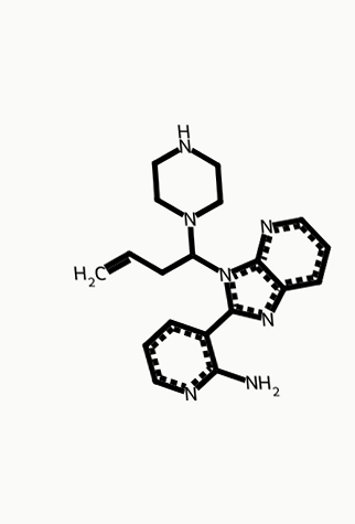 C=CCC(N1CCNCC1)n1c(-c2cccnc2N)nc2cccnc21